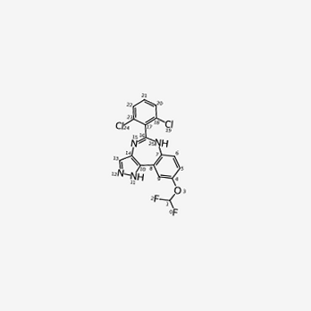 FC(F)Oc1ccc2c(c1)-c1[nH]ncc1N=C(c1c(Cl)cccc1Cl)N2